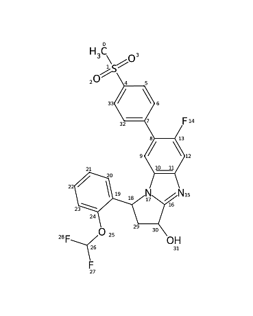 CS(=O)(=O)c1ccc(-c2cc3c(cc2F)nc2n3C(c3ccccc3OC(F)F)CC2O)cc1